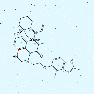 C=CN(/C(=C(\C)C(=O)N1CCNC[C@H]1CCOc1ccc2oc(C)nc2c1C)c1ccccc1)[C@@H]1CCCC[C@@]1(O)COC